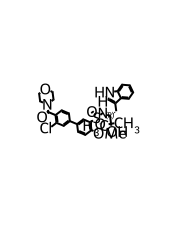 COc1ccc(-c2ccc(C(=O)N3CCOCC3)c(Cl)c2)cc1S(=O)(=O)N[C@H](Cc1c[nH]c2ccccc12)C(C)(C)O